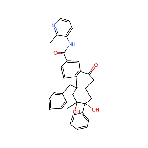 Cc1ncccc1NC(=O)c1ccc2c(c1)C(=O)CC1CC(O)(c3ccccc3)C(C)(O)CC21Cc1ccccc1